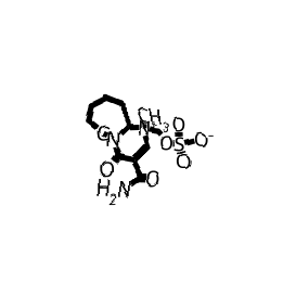 C[N+]1(COS(=O)(=O)[O-])C=C(C(N)=O)C(=O)N2CCCCCC21